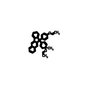 C=COc1ccc(C2(C3=CC[C@](C)(OC=C)C=C3)c3ccccc3-c3cc4ccccc4cc32)cc1